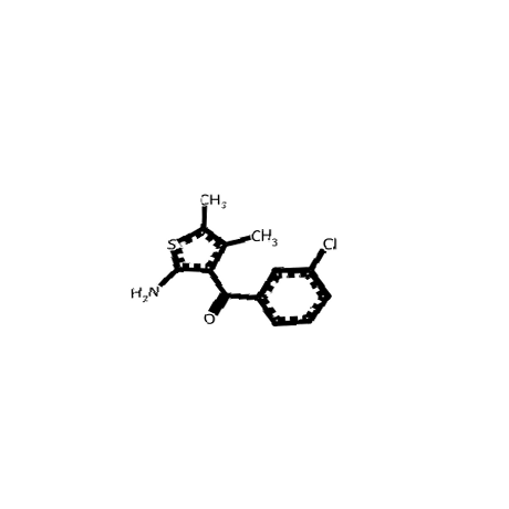 Cc1sc(N)c(C(=O)c2cccc(Cl)c2)c1C